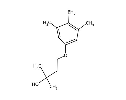 Bc1c(C)cc(OCCC(C)(C)O)cc1C